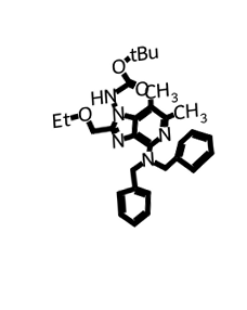 CCOCc1nc2c(N(Cc3ccccc3)Cc3ccccc3)nc(C)c(C)c2n1NC(=O)OC(C)(C)C